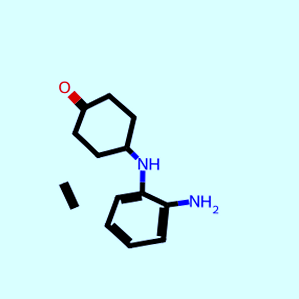 C=C.Nc1ccccc1NC1CCC(=O)CC1